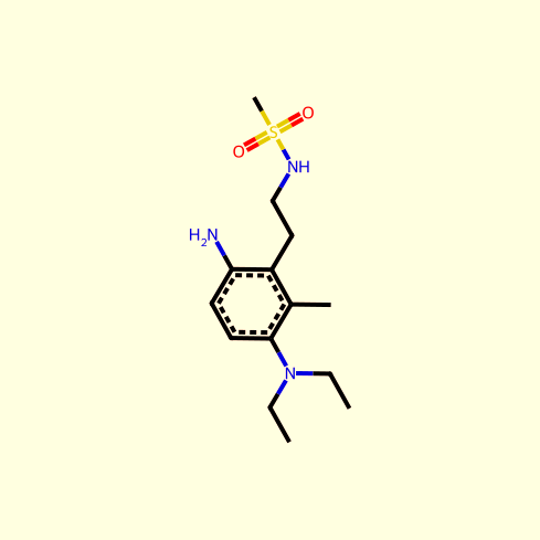 CCN(CC)c1ccc(N)c(CCNS(C)(=O)=O)c1C